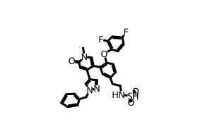 Cn1cc(-c2cc(CCN[SH](=O)=O)ccc2Oc2ccc(F)cc2F)c(-c2cnn(Cc3ccccc3)c2)cc1=O